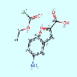 CCOC(=O)Cl.Nc1ccc2oc(C(=O)O)cc2c1